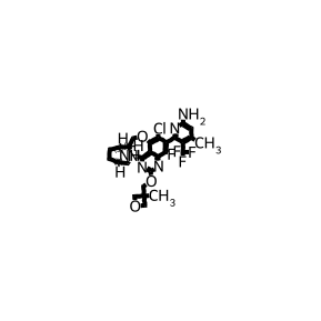 Cc1cc(N)nc(-c2c(Cl)c3c4c(nc(OCC5(C)COC5)nc4c2F)N2C[C@H]4CC[C@H](N4)[C@H]2CO3)c1C(F)(F)F